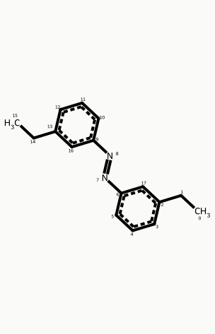 CCc1cccc(N=Nc2cccc(CC)c2)c1